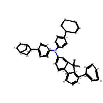 CC1(C)c2cc(N(c3ccc(C4CCCCC4)cc3)c3ccc(C4CC5CCC4C5)cc3)ccc2-c2cccc(-c3ccccc3)c21